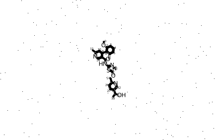 COc1cccc(F)c1-c1cc(C)ncc1C(=O)Nc1nnc(OCc2ccc(C(C)O)cn2)s1